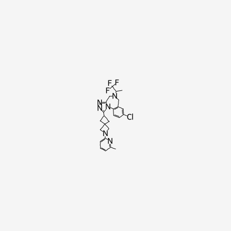 Cc1cccc(N2CC3(CC(c4nnc5n4-c4ccc(Cl)cc4CN(C(C)C(F)(F)F)C5)C3)C2)n1